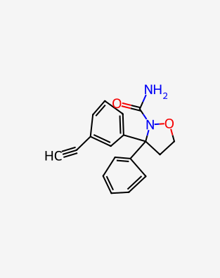 C#Cc1cccc(C2(c3ccccc3)CCON2C(N)=O)c1